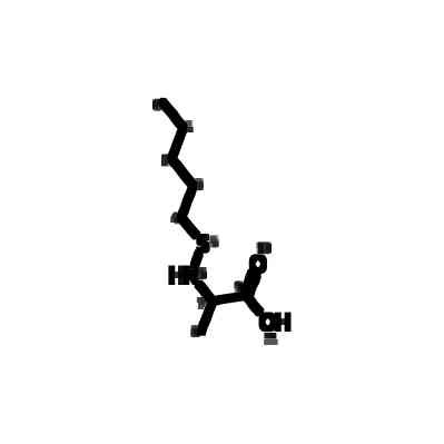 CCCCCSNC(C)C(=O)O